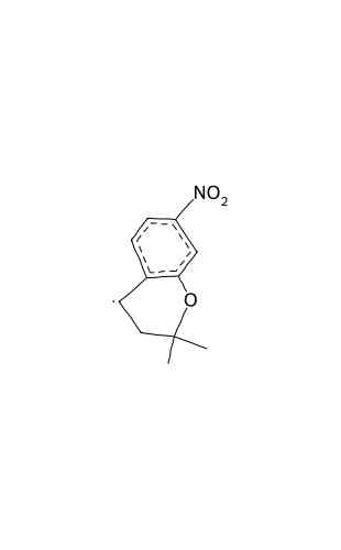 CC1(C)C[CH]c2ccc([N+](=O)[O-])cc2O1